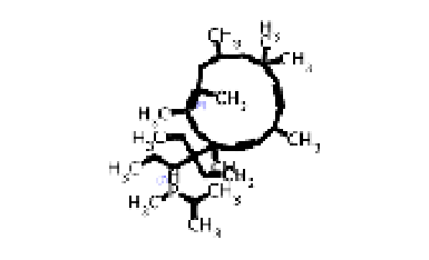 C=CC(CC)(/C(CC)=[PH](/C)C(C)C)C1(C)C=CC(C)C=CC(C)(C)CC(C)C/C(C)=C(\C)C1